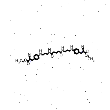 CCOC(=O)/C(C#N)=C/c1ccc(NCCCNC(=O)CCCC(=O)NCCCNc2ccc(/C=C(\C#N)C(=O)OCC)cc2)cc1